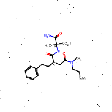 CNCCN(C)C(=O)C[C@@H](CCc1ccccc1)C(=O)N[C@](C)(C(N)=O)C(=O)O